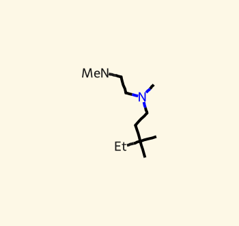 CCC(C)(C)CCN(C)CCNC